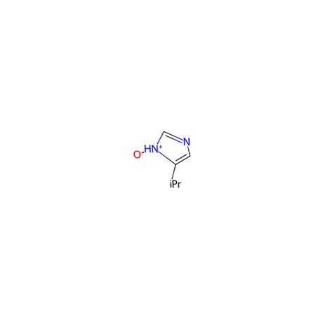 CC(C)C1=CN=C[NH+]1[O-]